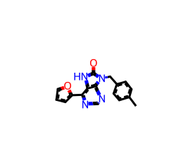 Cc1ccc(Cn2c(=O)[nH]c3c(-c4ccco4)ncnc32)cc1